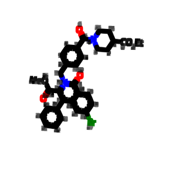 CCOC(=O)C1CCN(C(=O)c2ccc(Cn3c(C(=O)OC)c(-c4ccccc4)c4cc(Br)ccc4c3=O)cc2)CC1